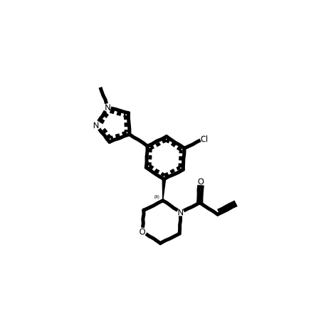 C=CC(=O)N1CCOC[C@H]1c1cc(Cl)cc(-c2cnn(C)c2)c1